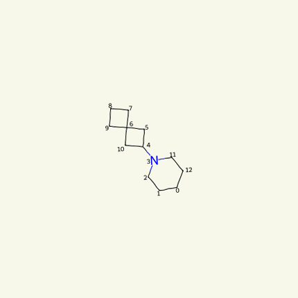 C1CCN(C2CC3(CCC3)C2)CC1